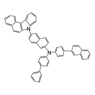 c1ccc(-c2ccc(N(c3ccc(-c4ccc5ccccc5c4)cc3)c3ccc4cc(-n5c6ccccc6c6c7ccccc7ccc65)ccc4c3)cc2)cc1